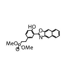 COP(=O)(CCc1ccc(O)c(-c2nc3cc4ccccc4cc3o2)c1)OC